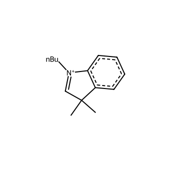 CCCC[N+]1=CC(C)(C)c2ccccc21